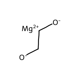 [Mg+2].[O-]CC[O-]